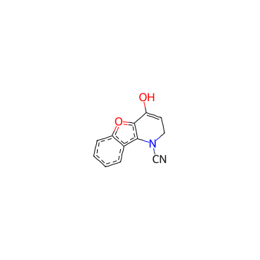 N#CN1CC=C(O)c2oc3ccccc3c21